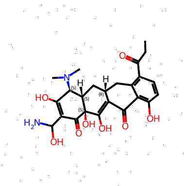 CCC(=O)c1ccc(O)c2c1C[C@H]1C[C@H]3[C@H](N(C)C)C(O)=C(C(N)O)C(=O)[C@@]3(O)C(O)=C1C2=O